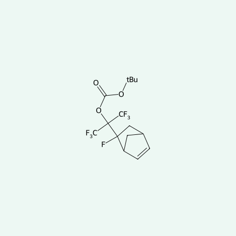 CC(C)(C)OC(=O)OC(C(F)(F)F)(C(F)(F)F)C1(F)CC2C=CC1C2